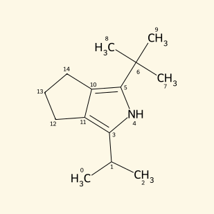 CC(C)c1[nH]c(C(C)(C)C)c2c1CCC2